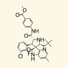 COC(=O)c1ccc(NC(=O)[C@@H]2N[C@@H](CC(C)(C)C)[C@@]3(C(=O)Nc4cc(C)cnc43)[C@H]2c2cccc(Cl)c2F)cc1